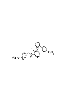 Oc1ccc(CNc2ncnc(N3CCCC3c3ccc(C(F)(F)F)cc3)c2F)cn1